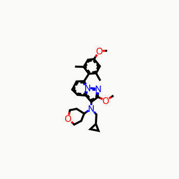 COc1cc(C)c(-c2cccc3c(N(CC4CC4)C4CCOCC4)c(OC)nn23)c(C)c1